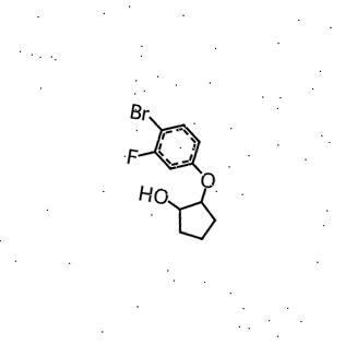 OC1CCCC1Oc1ccc(Br)c(F)c1